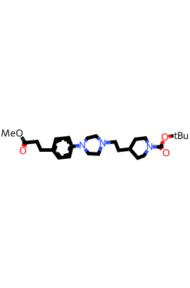 COC(=O)CCc1ccc(N2CCN(CCC3CCN(C(=O)OC(C)(C)C)CC3)CC2)cc1